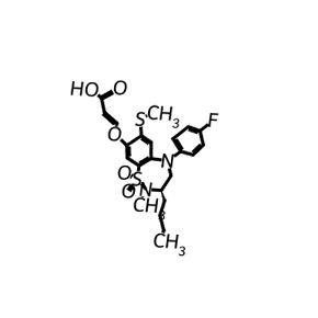 CCCC[C@@H]1CN(c2ccc(F)cc2)c2cc(SC)c(O/C=C/C(=O)O)cc2S(=O)(=O)N1C